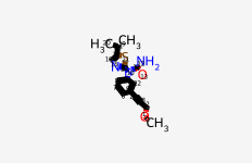 COCC#Cc1cccc(N(C(N)=O)c2ncc(C(C)C)s2)c1